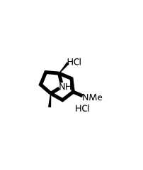 CNC1C[C@]2(C)CC[C@](C)(C1)N2.Cl.Cl